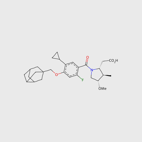 CO[C@@H]1CN(C(=O)c2cc(C3CC3)c(OCC34CC5CC(C3)C(C5)C4)cc2F)[C@H](CC(=O)O)[C@H]1C